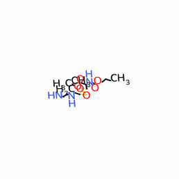 CCCCOC(=O)NC(CS(=O)(=O)CCNCC=N)C(=O)OC(C)(C)C